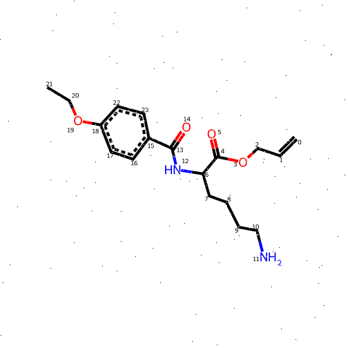 C=CCOC(=O)C(CCCCN)NC(=O)c1ccc(OCC)cc1